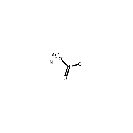 O=[N+]([O-])[O-].[Ag+].[N]